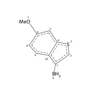 Bc1csc2cc(OC)ccc12